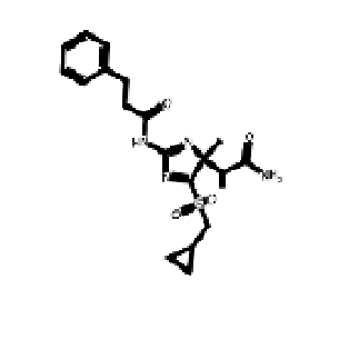 CC(C(N)=O)C1(C)N=C(NC(=O)CCc2ccccc2)N=C1S(=O)(=O)CC1CC1